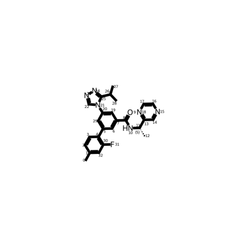 Cc1ccc(-c2cc(C(=O)N[C@@H](C)c3cnccn3)cc(-n3cnnc3C(C)C)c2)c(F)c1